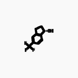 O[C@H]1CCc2cc(C(F)(F)F)ccc21